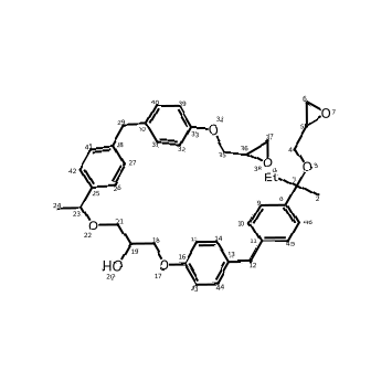 CCC(C)(OCC1CO1)c1ccc(Cc2ccc(OCC(O)COC(C)c3ccc(Cc4ccc(OCC5CO5)cc4)cc3)cc2)cc1